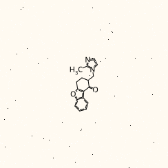 Cc1nccn1CC1CCc2oc3ccccc3c2C1=O